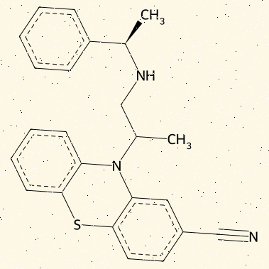 CC(CN[C@H](C)c1ccccc1)N1c2ccccc2Sc2ccc(C#N)cc21